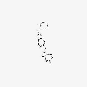 O[C@@H]1CCCC[C@H]1Nc1nc2ccc(Cc3cnc4cc(I)ccn34)cc2s1